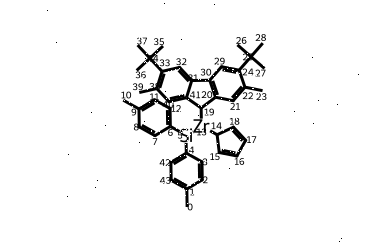 Cc1ccc([Si](c2ccc(C)cc2)=[Zr]([CH]2C=CC=C2)[CH]2c3cc(C)c(C(C)(C)C)cc3-c3cc(C(C)(C)C)c(C)cc32)cc1